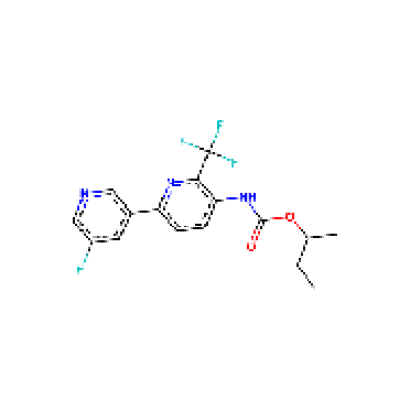 CCC(C)OC(=O)Nc1ccc(-c2cncc(F)c2)nc1C(F)(F)F